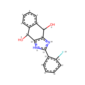 OC1c2ccccc2C(O)c2[nH]c(-c3ccccc3F)nc21